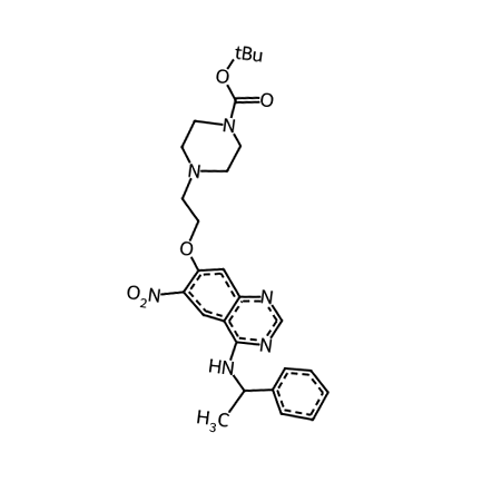 CC(Nc1ncnc2cc(OCCN3CCN(C(=O)OC(C)(C)C)CC3)c([N+](=O)[O-])cc12)c1ccccc1